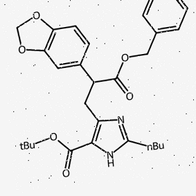 CCCCc1nc(CC(C(=O)OCc2ccccc2)c2ccc3c(c2)OCO3)c(C(=O)OC(C)(C)C)[nH]1